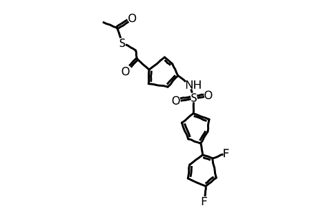 CC(=O)SCC(=O)c1ccc(NS(=O)(=O)c2ccc(-c3ccc(F)cc3F)cc2)cc1